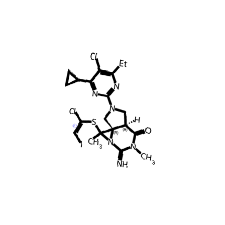 CCc1nc(N2C[C@H]3C(=O)N(C)C(=N)N4C(C)(S/C(Cl)=C\I)[C@]34C2)nc(C2CC2)c1Cl